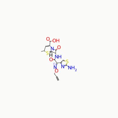 C#CCO/N=C(/C(=O)NC1C(=O)N2C(C(=O)O)=CC(C)S[C@H]12)c1csc(N)n1